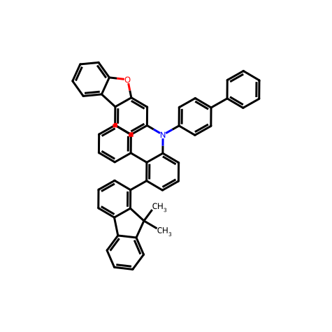 CC1(C)c2ccccc2-c2cccc(-c3cccc(N(c4ccc(-c5ccccc5)cc4)c4ccc5c(c4)oc4ccccc45)c3-c3ccccc3)c21